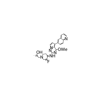 COc1nc(N[C@H]2CCN(C[C@H](C)O)C[C@H]2F)nn2ccc(-c3ccc4ncccc4c3)c12